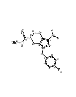 CN(C)c1nn(Cc2ccc(F)cc2)c2c1CCN(C(=O)OC(C)(C)C)C2